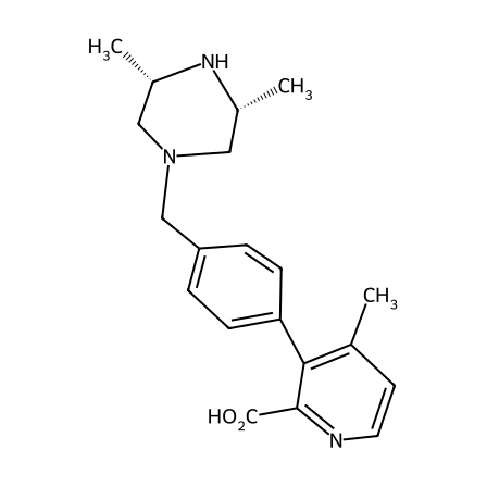 Cc1ccnc(C(=O)O)c1-c1ccc(CN2C[C@@H](C)N[C@@H](C)C2)cc1